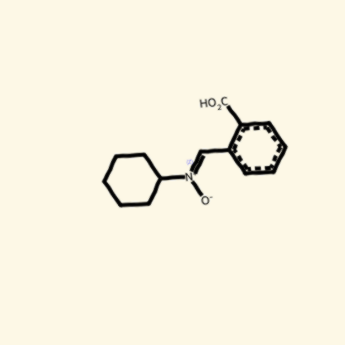 O=C(O)c1ccccc1/C=[N+](\[O-])C1CCCCC1